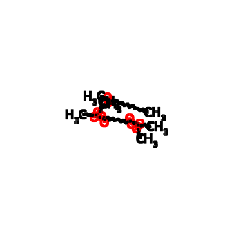 CCCCCCCCCCCCCCCC(=O)OC(C)C.CCCCOC(COC(=O)CCCCCCCCC(=O)OCC(OCCCC)OCCCC)OCCCC